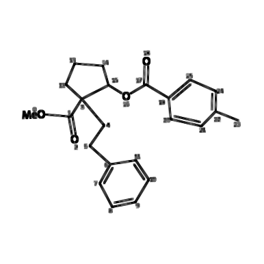 COC(=O)C1(CCc2ccccc2)CCCC1OC(=O)c1ccc(C)cc1